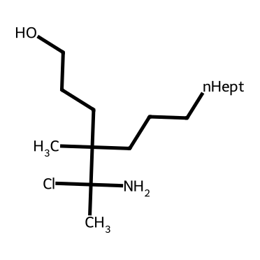 CCCCCCCCCCC(C)(CCCO)C(C)(N)Cl